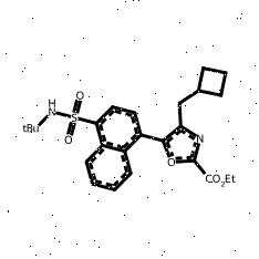 CCOC(=O)c1nc(CC2CCC2)c(-c2ccc(S(=O)(=O)NC(C)(C)C)c3ccccc23)o1